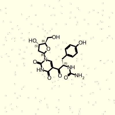 NC(=O)N[C@@H](Cc1ccc(O)cc1)C(=O)c1cn([C@H]2C[C@H](O)[C@@H](CO)O2)c(=O)[nH]c1=O